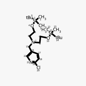 CC(C)(C)[Si](C)(C)OCCN(CCO[Si](C)(C)C(C)(C)C)Cc1ccc(Cl)nc1